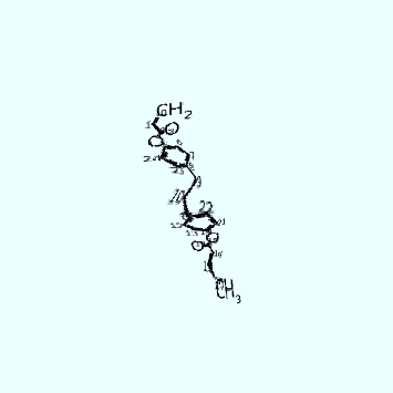 C=CC(=O)Oc1ccc(CCc2ccc(OC(=O)C=CC)cc2)cc1